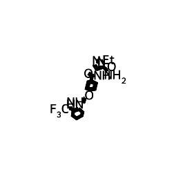 CCn1ncc(NC(=O)c2ccc(OCCNC3=C(C(=N)C(F)(F)F)CCCC3)cc2)c1C(N)=O